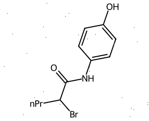 CCCC(Br)C(=O)Nc1ccc(O)cc1